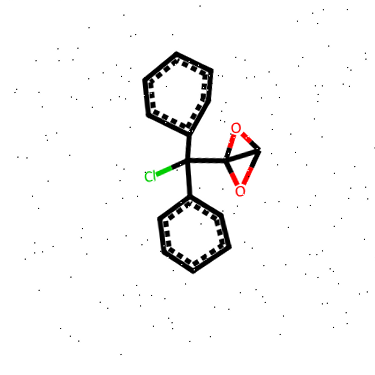 ClC(c1ccccc1)(c1ccccc1)C12OC1O2